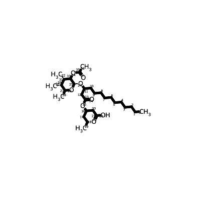 CCCCCCCCCCCC(CC(=O)OC(CCC)CC(=O)O)O[C@@H]1OC(C)[C@H](C)[C@H](C)C1OC(C)=O